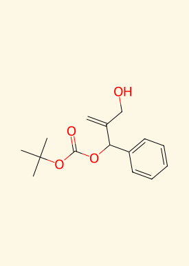 C=C(CO)C(OC(=O)OC(C)(C)C)c1ccccc1